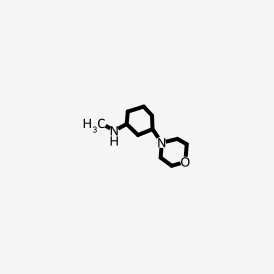 CNC1CCCC(N2CCOCC2)C1